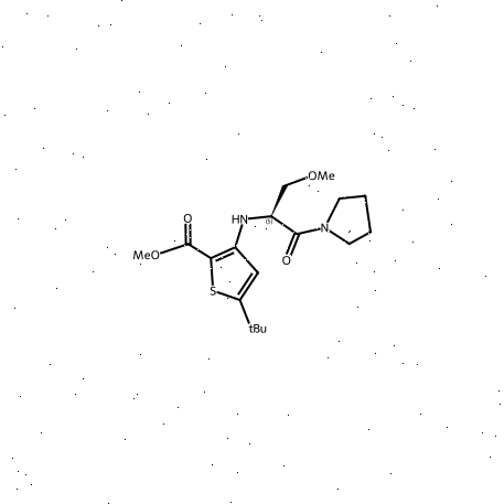 COC[C@H](Nc1cc(C(C)(C)C)sc1C(=O)OC)C(=O)N1CCCC1